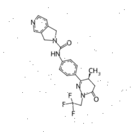 C[C@H]1CC(=O)N(CC(F)(F)F)N=C1c1ccc(NC(=O)N2Cc3ccncc3C2)cc1